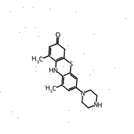 CC1=CC(=O)CC2=C1Nc1c(C)cc(N3CCNCC3)cc1S2